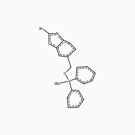 CC(C)(C)[Si](OCc1ccc2nc(Br)sc2c1)(c1ccccc1)c1ccccc1